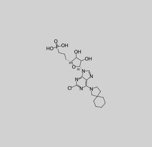 O=P(O)(O)CCC[C@H]1O[C@@H](n2cnc3c(N4CCC5(CCCCC5)C4)nc(Cl)nc32)C(O)C1O